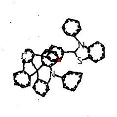 c1ccc(N2c3ccccc3C3(c4ccccc4-c4cccc(-c5ccc(C6Sc7ccccc7N6c6ccccc6)cc5)c43)c3ccccc32)cc1